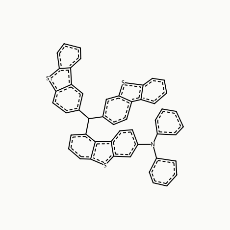 c1ccc(N(c2ccccc2)c2ccc3c(c2)sc2cccc(C(c4ccc5c(c4)sc4ccccc45)c4ccc5sc6ccccc6c5c4)c23)cc1